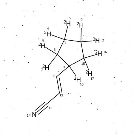 [2H]C1([2H])C([2H])([2H])C([2H])([2H])C([2H])(C=CC#N)C1([2H])[2H]